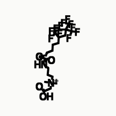 C[N+](C)(CCCNS(=O)(=O)CCCCC(CC(C(F)(F)F)(C(F)(F)F)C(F)(F)F)C(F)(F)F)CC(=O)O